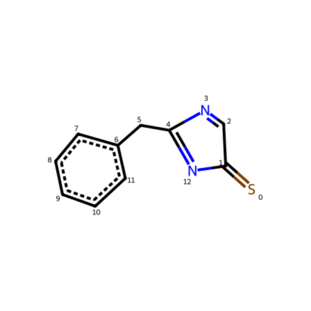 S=C1C=NC(Cc2ccccc2)=N1